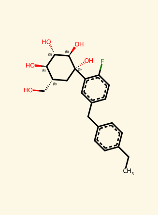 CCc1ccc(Cc2ccc(F)c([C@@]3(O)C[C@H](CO)[C@@H](O)[C@H](O)[C@H]3O)c2)cc1